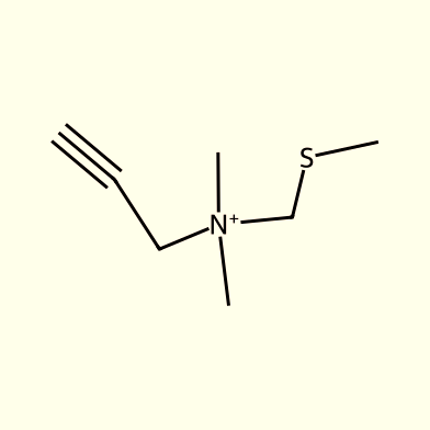 C#CC[N+](C)(C)CSC